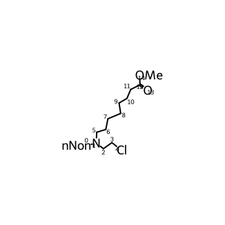 CCCCCCCCCN(CCCl)CCCCCCCC(=O)OC